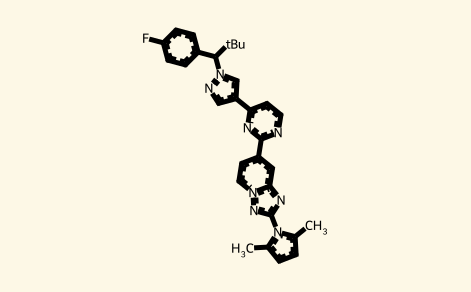 Cc1ccc(C)n1-c1nc2cc(-c3nccc(-c4cnn(C(c5ccc(F)cc5)C(C)(C)C)c4)n3)ccn2n1